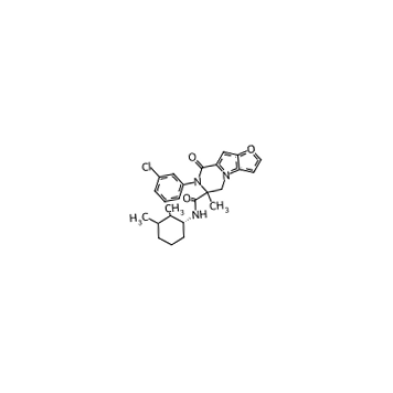 CC1CCC[C@@H](NC(=O)C2(C)Cn3c(cc4occc43)C(=O)N2c2cccc(Cl)c2)C1C